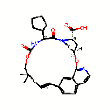 CC1(C)C/C=C/c2ccc3ccnc(c3c2)O[C@@H]2C[C@@H](C(=O)O)N(C2)C(=O)[C@H](C2CCCC2)NC(=O)OC1